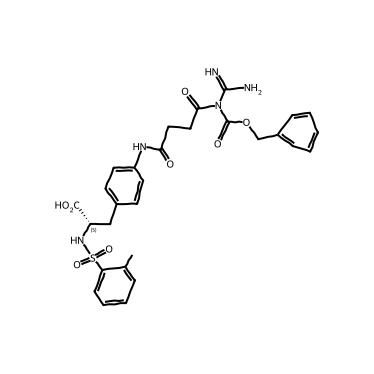 Cc1ccccc1S(=O)(=O)N[C@@H](Cc1ccc(NC(=O)CCC(=O)N(C(=N)N)C(=O)OCc2ccccc2)cc1)C(=O)O